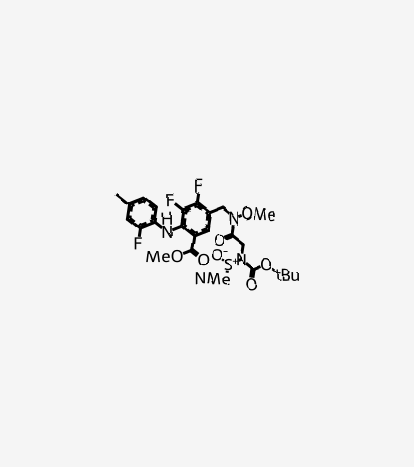 CN[S+]([O-])N(CC(=O)N(Cc1cc(C(=O)OC)c(Nc2ccc(C)cc2F)c(F)c1F)OC)C(=O)OC(C)(C)C